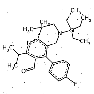 CC[Si](CC)(CC)N1Cc2c(nc(C(C)C)c(C=O)c2-c2ccc(F)cc2)C(C)(C)C1